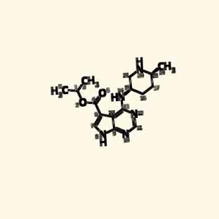 CC(C)OC(=O)c1c[nH]c2ncnc(N[C@@H]3CC[C@H](C)NC3)c12